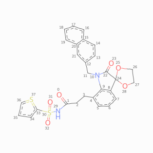 O=C(CCc1cccc2c1N(Cc1ccc3ccccc3c1)C(=O)C21OCCO1)NS(=O)(=O)c1cccs1